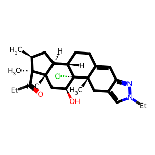 CCC(=O)[C@@]1(C)[C@@H](C)C[C@H]2[C@@H]3CCC4=Cc5nn(CC)cc5C[C@]4(C)[C@@]3(Cl)[C@@H](O)C[C@@]21C